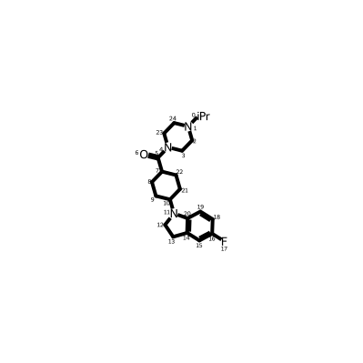 CC(C)N1CCN(C(=O)C2CCC(N3CCc4cc(F)ccc43)CC2)CC1